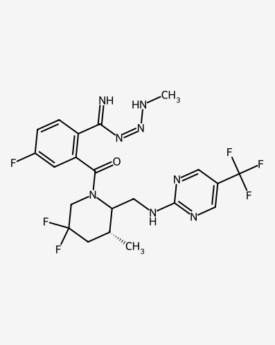 CN/N=N\C(=N)c1ccc(F)cc1C(=O)N1CC(F)(F)C[C@@H](C)C1CNc1ncc(C(F)(F)F)cn1